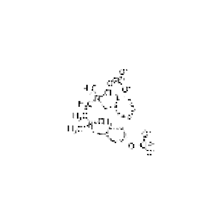 C[N+](C)(C)Cc1ccccc1.C[N+](C)(C)Cc1ccccc1.[O-][Cl+2]([O-])[O-].[O-][Cl+2]([O-])[O-]